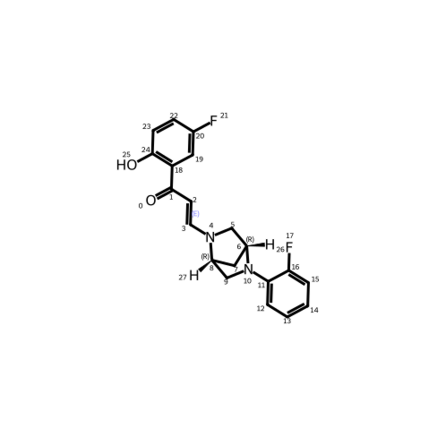 O=C(/C=C/N1C[C@H]2C[C@@H]1CN2c1ccccc1F)c1cc(F)ccc1O